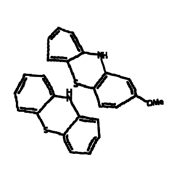 COc1ccc2c(c1)Nc1ccccc1S2.c1ccc2c(c1)Nc1ccccc1S2